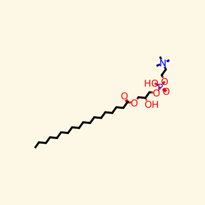 CCCCCCCCCCCCCCCCCC(=O)OC[C@H](O)COP(=O)(O)OCC[N+](C)(C)C